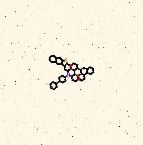 c1ccc(-c2ccc(N(c3ccc4sc5cc6ccccc6cc5c4c3)c3ccccc3-c3ccccc3-c3cc4ccccc4c4ccccc34)cc2)cc1